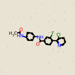 CC(=O)Nc1ccc(NC(=O)c2ccc(-c3ncccc3Cl)c(F)c2)cc1